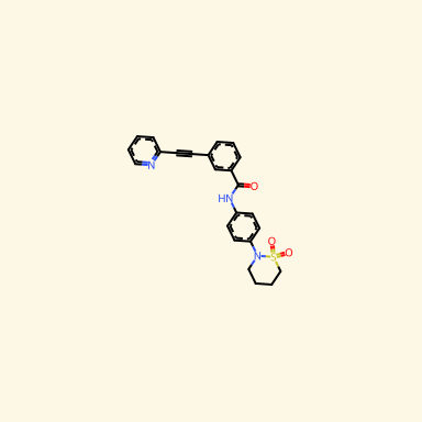 O=C(Nc1ccc(N2CCCCS2(=O)=O)cc1)c1cccc(C#Cc2ccccn2)c1